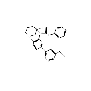 NCc1cncc(-c2ccc3c(n2)N(C(=O)Nc2ccccn2)[C@H]2CCCN3C2)c1